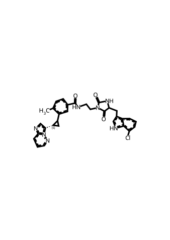 Cc1ccc(C(=O)NCCN2C(=O)NC(Cc3c[nH]c4c(Cl)cccc34)C2=O)cc1C1C[C@@H]1c1cnc2cccnn12